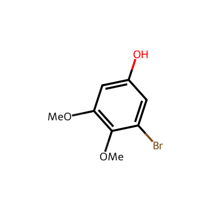 COc1cc(O)cc(Br)c1OC